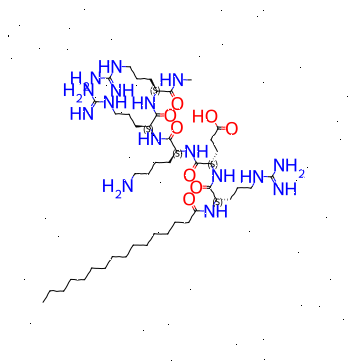 CCCCCCCCCCCCCCCC(=O)N[C@@H](CCCNC(=N)N)C(=O)N[C@@H](CCC(=O)O)C(=O)N[C@@H](CCCCN)C(=O)N[C@@H](CCCNC(=N)N)C(=O)N[C@@H](CCCNC(=N)N)C(=O)NC